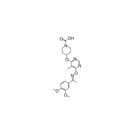 COc1ccc(C(C)=NOc2ncnc(OC3CCN(C(=O)O)CC3)c2C)cc1OC